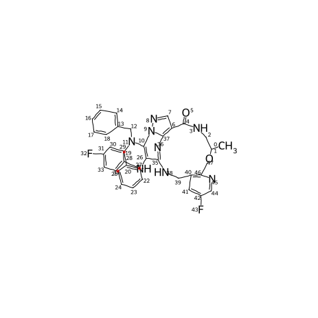 CC1CNC(=O)c2cnn3c(N(Cc4ccccc4)Cc4ccccc4)c(Nc4ccc(F)cc4)c(nc23)NCc2cc(F)cnc2O1